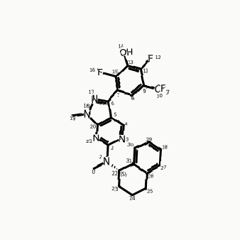 CN(c1ncc2c(-c3cc(C(F)(F)F)c(F)c(O)c3F)nn(C)c2n1)[C@H]1CCCc2ccccc21